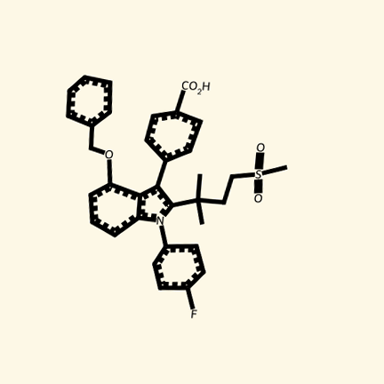 CC(C)(CCS(C)(=O)=O)c1c(-c2ccc(C(=O)O)cc2)c2c(OCc3ccccc3)cccc2n1-c1ccc(F)cc1